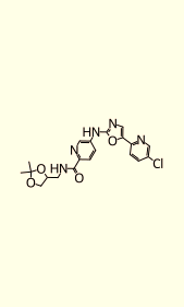 CC1(C)OCC(CNC(=O)c2ccc(Nc3ncc(-c4ccc(Cl)cn4)o3)cn2)O1